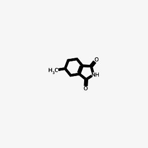 CC1CCC2=C(C1)C(=O)NC2=O